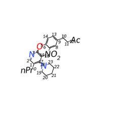 CCCc1cnc(Oc2ccc(CCC(C)=O)cc2)c([N+](=O)[O-])c1N1CCCCC1